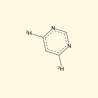 [2H]c1cc([2H])ncn1